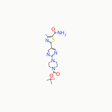 Cc1nc(-c2cnc(N3CCN(C(=O)OC(C)(C)C)CC3)nc2)sc1C(N)=O